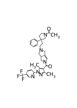 CC(=O)N1CCC(CCN2CC3=CN(C(=O)c4c(C)nn(-c5ccc(C(F)(F)F)cn5)c4C)CC3C2)(c2ccccc2)C1